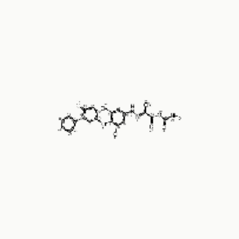 N#C/C(=N\Nc1cc(Cl)c(Oc2ccc(=O)n(-c3ccccc3)c2)c(Cl)c1)C(=O)OC(N)=O